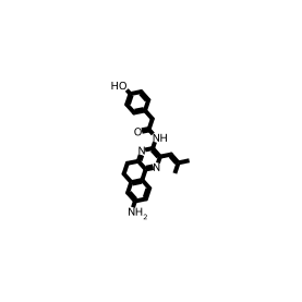 CC(C)=Cc1nc2c(nc1NC(=O)Cc1ccc(O)cc1)CCc1cc(N)ccc1-2